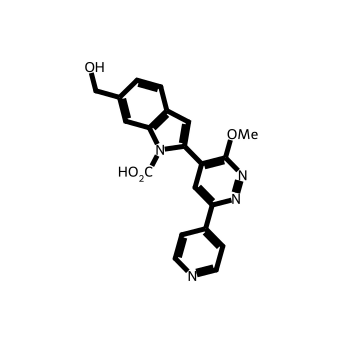 COc1nnc(-c2ccncc2)cc1-c1cc2ccc(CO)cc2n1C(=O)O